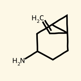 C=CC12CCC(N)CC1C2